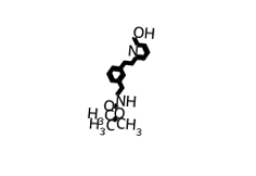 CC(C)(C)OC(=O)NCCc1cccc(CCc2cccc(CO)n2)c1